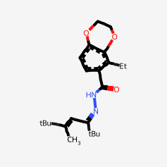 CCc1c(C(=O)NN=C(C=C(C)C(C)(C)C)C(C)(C)C)ccc2c1OCCO2